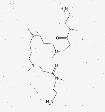 CN(CCCN(C)CCC(=O)N(C)CCN)CCCN(C)CCC(=O)N(C)CCN